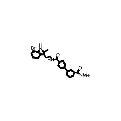 CNC(=O)c1cccc(-c2ccc(C(=O)NCCc3c(C)[nH]c4c(Br)cccc34)cc2)c1